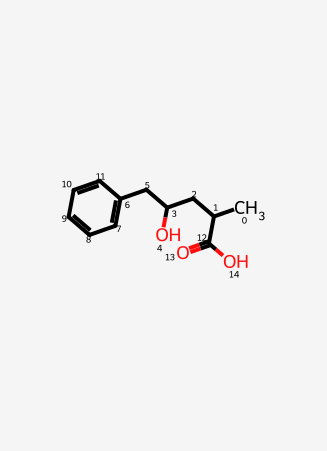 CC(CC(O)Cc1ccccc1)C(=O)O